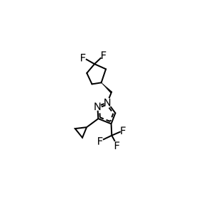 FC1(F)CC[C@H](Cn2cc(C(F)(F)F)c(C3CC3)n2)C1